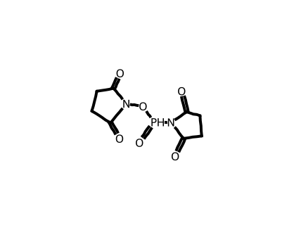 O=C1CCC(=O)N1O[PH](=O)N1C(=O)CCC1=O